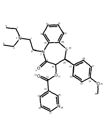 CCN(CC)CCN1C(=O)C(OC(=O)c2cccnc2)C(c2ccc(OC)cc2)Sc2ccccc21